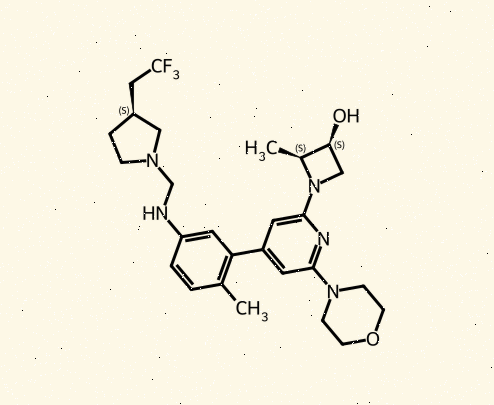 Cc1ccc(NCN2CC[C@@H](CC(F)(F)F)C2)cc1-c1cc(N2CCOCC2)nc(N2C[C@H](O)[C@@H]2C)c1